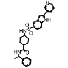 C[C@@H](NC(=O)C1CCC(NS(=O)(=O)c2ccc3[nH]c(-c4cccnc4)cc3c2)CC1)c1ccccc1